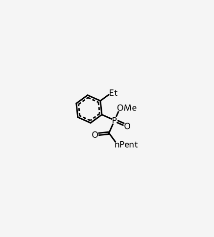 CCCCCC(=O)P(=O)(OC)c1ccccc1CC